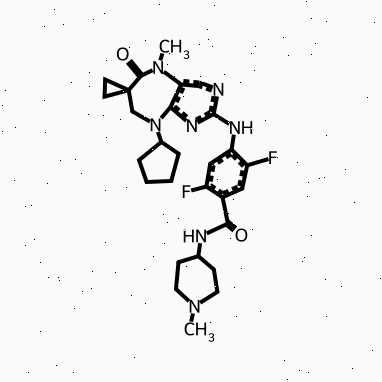 CN1CCC(NC(=O)c2cc(F)c(Nc3ncc4c(n3)N(C3CCCC3)CC3(CC3)C(=O)N4C)cc2F)CC1